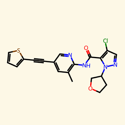 Cc1cc(C#Cc2cccs2)cnc1NC(=O)c1c(Cl)cnn1C1CCOC1